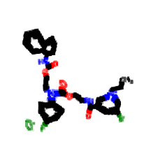 CCC[n+]1cc(Br)cc(C(=O)NCCOC(=O)N(CCOC(=O)Nc2cccc3ccccc23)c2ccc(F)cc2)c1.[Cl-]